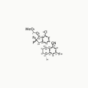 COCO[C@H]1c2c(Cl)ccc([C@H]3CC[C@@H](C)c4cc(F)cc(C#N)c43)c2CC1(F)F